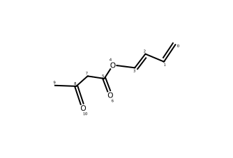 C=CC=COC(=O)CC(C)=O